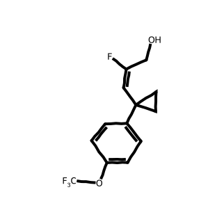 OC/C(F)=C\C1(c2ccc(OC(F)(F)F)cc2)CC1